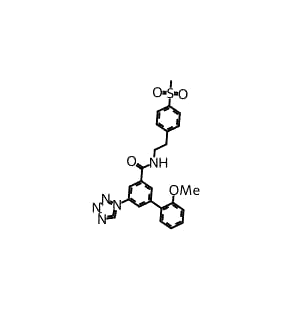 COc1ccccc1-c1cc(C(=O)NCCc2ccc(S(C)(=O)=O)cc2)cc(-n2cnnn2)c1